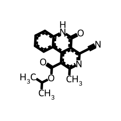 Cc1nc(C#N)c2c(=O)[nH]c3ccccc3c2c1C(=O)OC(C)C